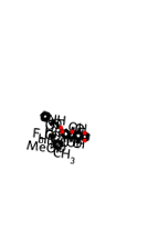 CO[C@H]1[C@@H](NC(=O)C(F)(F)F)C[C@H](O[C@H]2C[C@](O)(CCOC(=O)Nc3ccccc3)Cc3c(O)c4c(c(O)c32)C(=O)c2ccccc2C4=O)O[C@H]1C